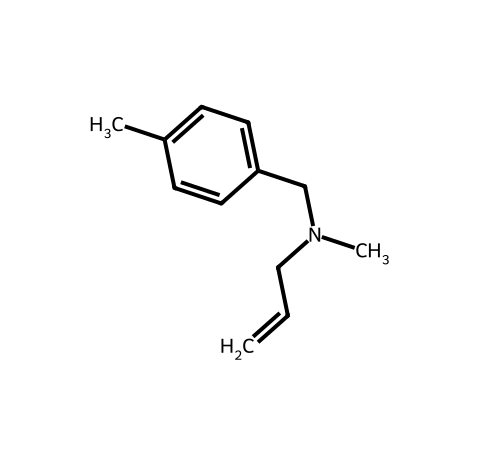 C=CCN(C)Cc1ccc(C)cc1